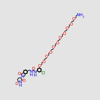 NCCOCCOCCOCCOCCOCCOCCOCCOCCOCCOCCOc1cc(Cl)cc(NC(=O)NCc2ccc3c(c2)CN(C2CCC(=O)NC2=O)C3=O)c1